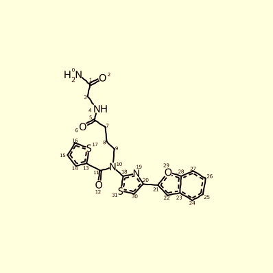 NC(=O)CNC(=O)CCCN(C(=O)c1cccs1)c1nc(-c2cc3ccccc3o2)cs1